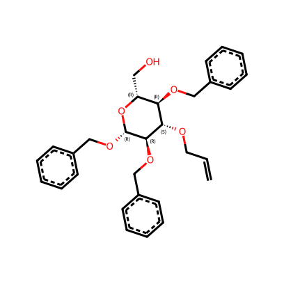 C=CCO[C@@H]1[C@@H](OCc2ccccc2)[C@H](OCc2ccccc2)O[C@H](CO)[C@H]1OCc1ccccc1